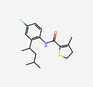 CC1=C(C(=O)Nc2ccc(F)cc2C(C)CC(C)C)SCC1